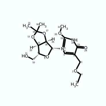 CCOCc1c[n+]([C@@H]2O[C@H](CO)[C@H]3OC(C)(C)O[C@H]32)c(OC)[nH]c1=O